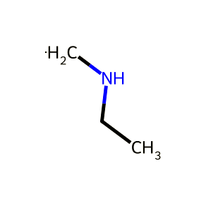 [CH2]NCC